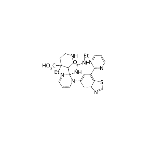 CCNC(=O)NC1(C2CNCCC2(CC)C(=O)O)N=CC=CN1c1cc(-c2ncccn2)c2scnc2c1